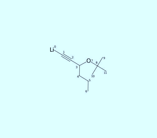 [Li][C]#CC(CCC)OC(C)(C)C